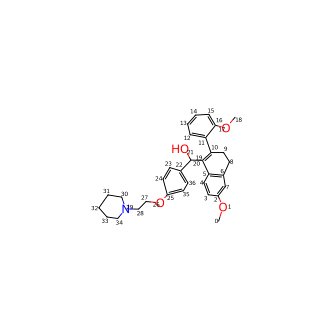 COc1ccc2c(c1)CCC(c1ccccc1OC)=C2C(O)c1ccc(OCCN2CCCCC2)cc1